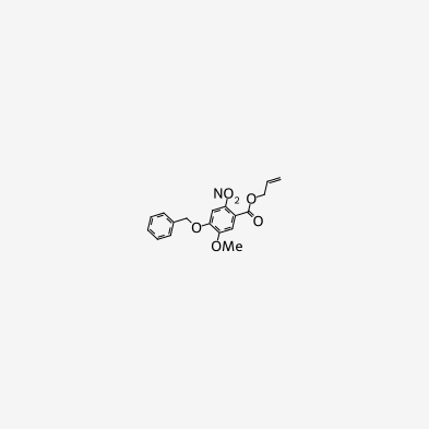 C=CCOC(=O)c1cc(OC)c(OCc2ccccc2)cc1[N+](=O)[O-]